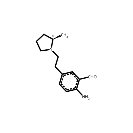 C[C@@H]1CCCN1CCc1ccc(N)c(C=O)c1